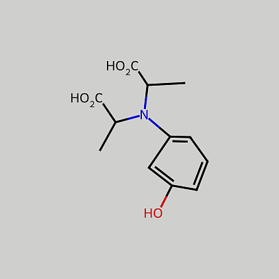 CC(C(=O)O)N(c1cccc(O)c1)C(C)C(=O)O